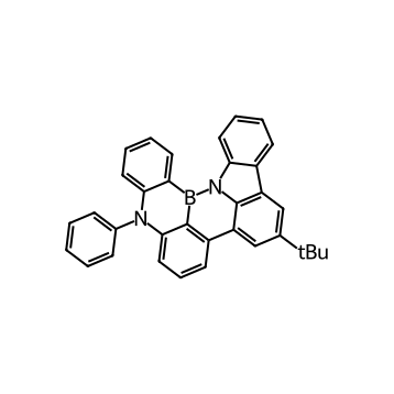 CC(C)(C)c1cc2c3c(c1)c1ccccc1n3B1c3ccccc3N(c3ccccc3)c3cccc-2c31